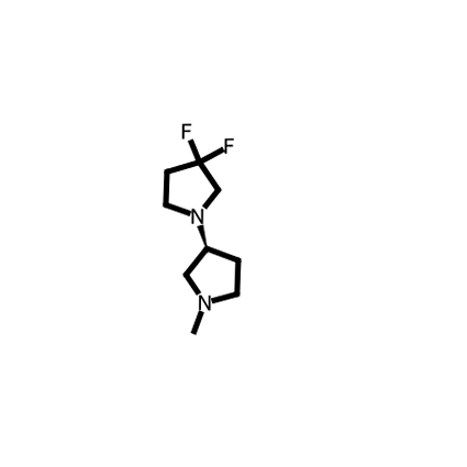 CN1CC[C@H](N2CCC(F)(F)C2)C1